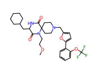 COCCN1C(=O)C(CC2CCCCC2)NC(=O)C12CCN(Cc1ccc(-c3ccccc3OC(F)(F)F)o1)CC2